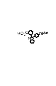 COc1ccc(-n2c(C3=CC(C(=O)O)=CC=CC3)nc3ccccc32)cc1